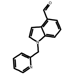 O=Cc1cccc2c1ccn2Cc1ccccn1